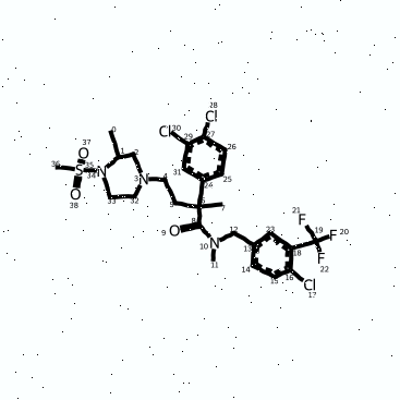 CC1CN(CCC(C)(C(=O)N(C)Cc2ccc(Cl)c(C(F)(F)F)c2)c2ccc(Cl)c(Cl)c2)CCN1S(C)(=O)=O